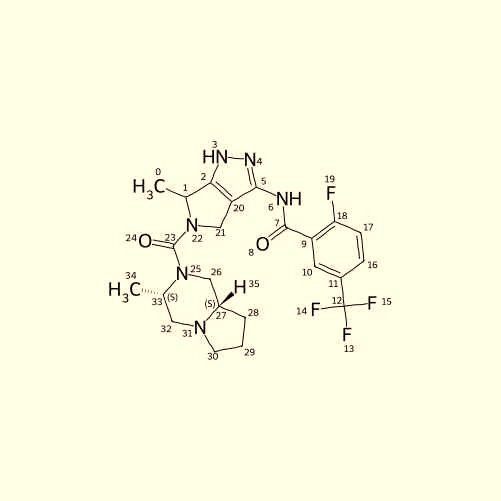 CC1c2[nH]nc(NC(=O)c3cc(C(F)(F)F)ccc3F)c2CN1C(=O)N1C[C@@H]2CCCN2C[C@@H]1C